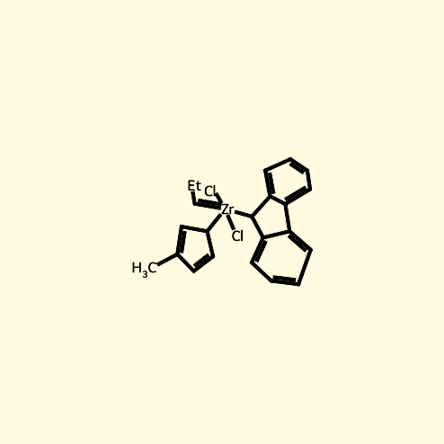 CC[CH]=[Zr]([Cl])([Cl])([CH]1C=CC(C)=C1)[CH]1c2ccccc2-c2ccccc21